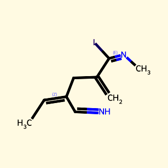 C=C(C/C(C=N)=C/C)/C(I)=N\C